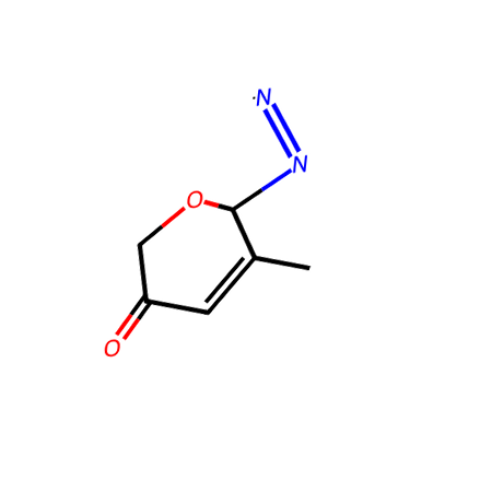 CC1=CC(=O)COC1N=[N]